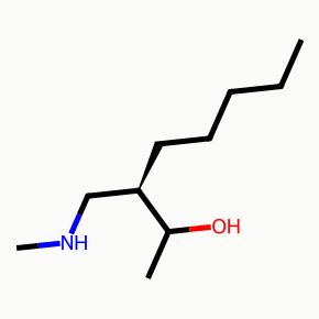 CCCCC[C@H](CNC)C(C)O